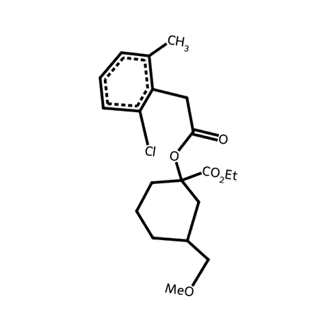 CCOC(=O)C1(OC(=O)Cc2c(C)cccc2Cl)CCCC(COC)C1